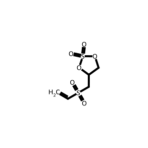 C=CS(=O)(=O)CC1COS(=O)(=O)O1